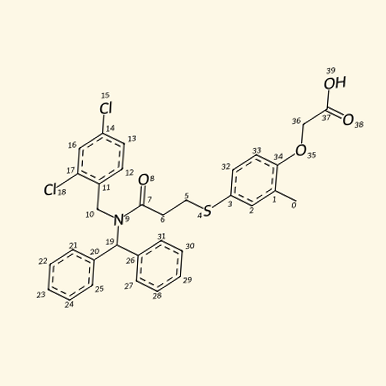 Cc1cc(SCCC(=O)N(Cc2ccc(Cl)cc2Cl)C(c2ccccc2)c2ccccc2)ccc1OCC(=O)O